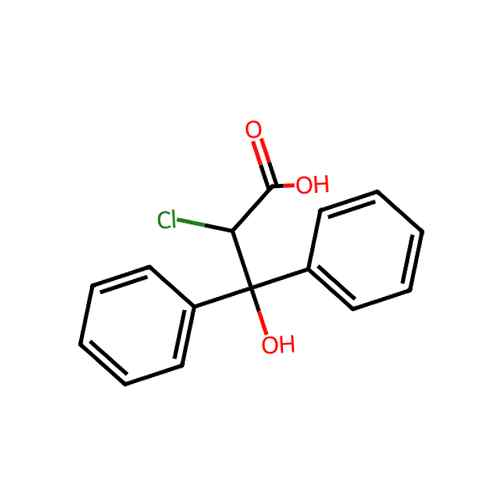 O=C(O)C(Cl)C(O)(c1ccccc1)c1ccccc1